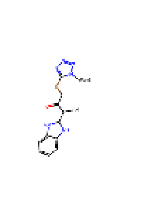 CCCCCn1nnnc1SCC(=O)C(C#N)C1Nc2ccccc2N1